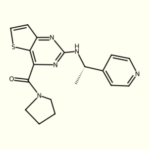 C[C@H](Nc1nc(C(=O)N2CCCC2)c2sccc2n1)c1ccncc1